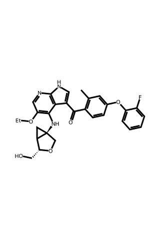 CCOc1cnc2[nH]cc(C(=O)c3ccc(Oc4ccccc4F)cc3C)c2c1N[C@@]12CO[C@H](CO)C1C2